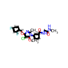 CNC(=O)CNC(=O)c1ccc(C)c(-n2c(C)nc(OCc3ccc(F)cc3F)c(Cl)c2=O)c1